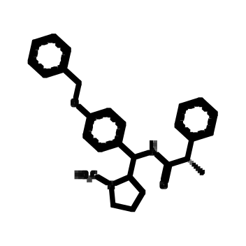 C[C@H](C(=O)NC(c1ccc(OCc2ccccc2)cc1)C1CCCN1C(=O)O)c1ccccc1